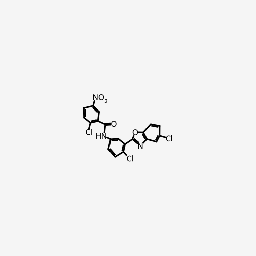 O=C(Nc1ccc(Cl)c(-c2nc3cc(Cl)ccc3o2)c1)c1cc([N+](=O)[O-])ccc1Cl